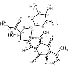 Cc1cccc2c1C(=O)c1c(O)c3c(c(O)c1C2=O)C[C@@](O)(C(=O)CO)C[C@@H]3C1CC(N)C(O)C(C)O1